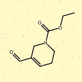 CCOC(=O)N1CCC=C(C=O)C1